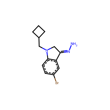 N/N=C1\CN(CC2CCC2)c2ccc(Br)cc21